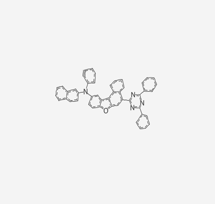 c1cccc(N(c2ccc3ccccc3c2)c2ccc3oc4cc(-c5nc(-c6ccccc6)nc(-c6ccccc6)n5)c5ccccc5c4c3c2)c#1